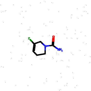 NC(=O)N1CCC=C(F)C1